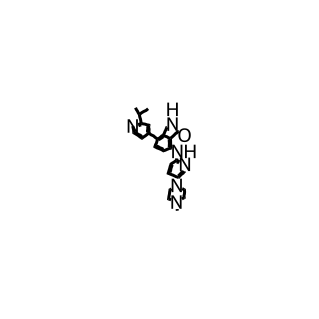 CC(C)c1cc(-c2ccc(Nc3ccc(N4CCN(C)CC4)cn3)c3c2CNC3=O)ccn1